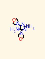 Nc1nc(N2CCOCC2)c(N)c(N2CCOCC2)n1